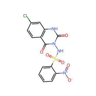 O=c1[nH]c2cc(Cl)ccc2c(=O)n1NS(=O)(=O)c1ccccc1[N+](=O)[O-]